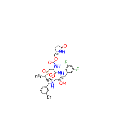 CCCC(CCC)S(=O)(=O)CC(NC(=O)OC[C@H]1CCC(=O)N1)C(=O)N[C@@H](Cc1cc(F)cc(F)c1)[C@H](O)CNCc1cccc(CC)c1